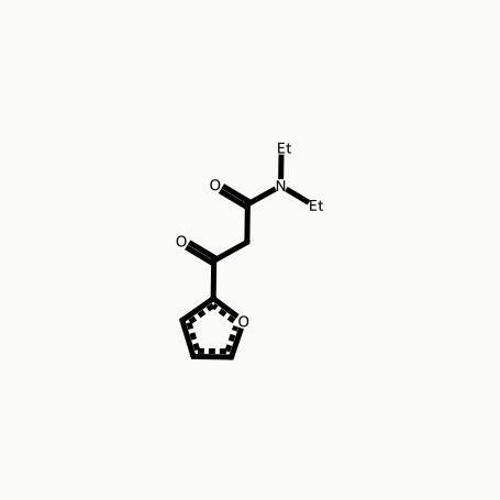 CCN(CC)C(=O)CC(=O)c1ccco1